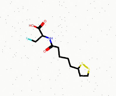 O=C(CCCCC1CCSS1)NC(CF)C(=O)O